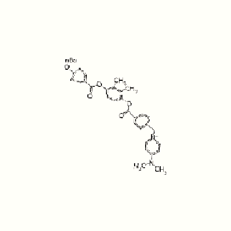 CCCCOc1ccc(C(=O)Oc2ccc(OC(=O)c3ccc(C[n+]4ccc(N(C)C)cc4)cc3)c(C)c2C)cc1